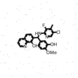 COc1ccc(C(Nc2ncc(Cl)c(C)c2F)c2ccc3cccnc3c2O)cc1O